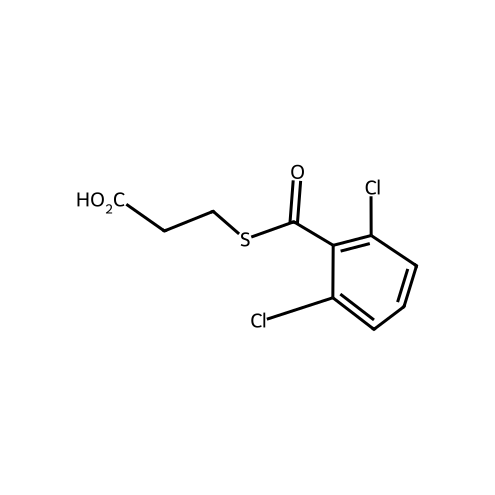 O=C(O)CCSC(=O)c1c(Cl)cccc1Cl